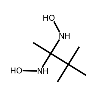 CC(C)(C)C(C)(NO)NO